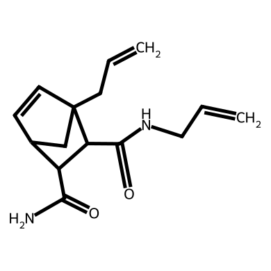 C=CCNC(=O)C1C(C(N)=O)C2C=CC1(CC=C)C2